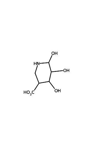 O=C(O)C1CNC(O)C(O)C1O